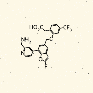 NCc1cc(-c2cc(COc3cc(C(F)(F)F)ccc3CC(=O)O)cc3cc(F)oc23)ccn1